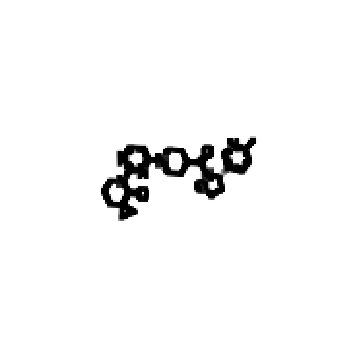 Cc1ccc([C@@H]2CCON2C(=O)C2CCN(c3ccnc(N4CCCC5(CC5)C4=O)n3)CC2)cn1